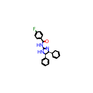 O=C(NC1=N[C@@H](C2C=CC=CC2)[C@@H](c2ccccc2)N1)c1ccc(F)cc1